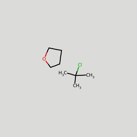 C1CCOC1.CC(C)(C)Cl